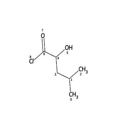 CC(C)CC(O)C(=O)Cl